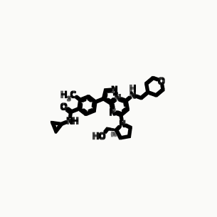 Cc1cc(-c2cnn3c(NCC4CCOCC4)cc(N4CCC[C@H]4CO)nc23)ccc1C(=O)NC1CC1